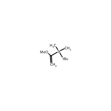 C=C(OC)[Si](C)(C)C(C)(C)C